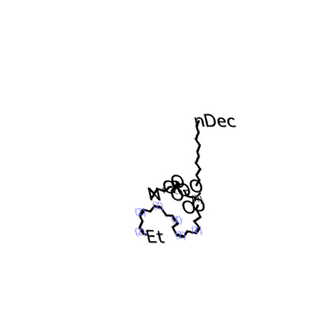 CC/C=C\C/C=C\C/C=C\C/C=C\C/C=C\C/C=C\CCC(=O)O[C@H](COCCCCCCCCCCCCCCCCCCCC)COP(=O)([O-])OCC[N+](C)(C)C